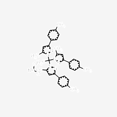 Cc1ccc(-c2cc(C)n(C(C)(n3nc(-c4ccc(C)cc4)cc3C)n3nc(-c4ccc(C)cc4)cc3C)n2)cc1.[Cl][Mn][Cl]